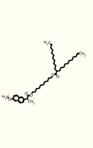 C=CCCCCCCCCCC(CCCCCCCCCC=C)C(=O)OCCCCCCCCCCOC(=O)[C@@H](C)c1ccc2cc(OC)ccc2c1